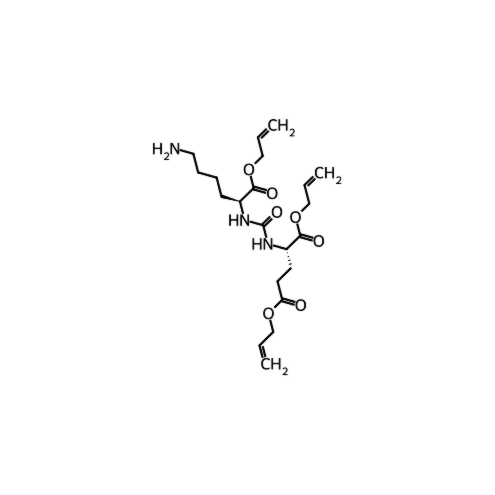 C=CCOC(=O)CC[C@H](NC(=O)N[C@@H](CCCCN)C(=O)OCC=C)C(=O)OCC=C